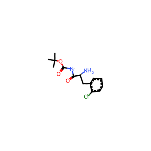 CC(C)(C)OC(=O)[N]C(=O)[C@@H](N)Cc1ccccc1Cl